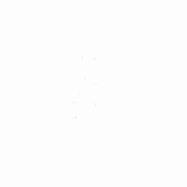 CCC(=O)Oc1cccc(-c2ncc(-c3ccc(Oc4ccccc4)cc3)c3c(N)n[nH]c23)c1